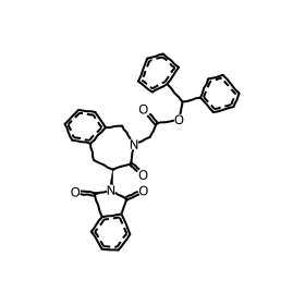 O=C(CN1Cc2ccccc2C[C@H](N2C(=O)c3ccccc3C2=O)C1=O)OC(c1ccccc1)c1ccccc1